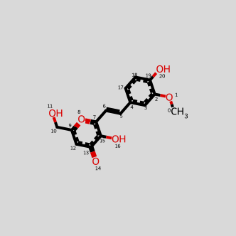 COc1cc(/C=C/c2oc(CO)cc(=O)c2O)ccc1O